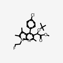 COC(=O)C(OC(C)(C)C)c1c(C)nc2c(c(C)c(C)n2CCF)c1-c1ccc(Cl)cc1